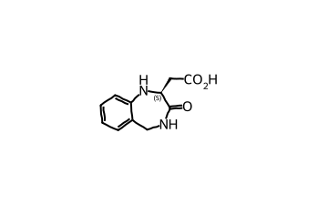 O=C(O)C[C@@H]1Nc2ccccc2CNC1=O